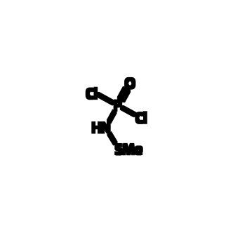 CSNP(=O)(Cl)Cl